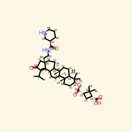 CC(C)C1=C2C3CC[C@@]4(C)[C@@](C)(CC[C@H]5C(C)(C)[C@@H](OC(=O)[C@H]6C[C@@H](C(=O)O)C6(C)C)CC[C@@]54C)[C@]3(C)CC[C@@]2(CCNC(=O)[C@@H]2CCCNC2)CC1=O